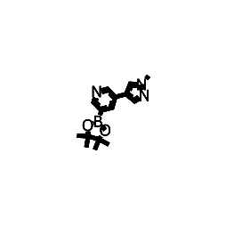 Cn1cc(-c2cncc(B3OC(C)(C)C(C)(C)O3)c2)cn1